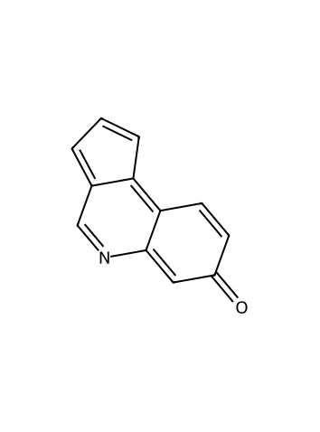 O=C1C=Cc2c3c(cnc2=C1)=CC=C3